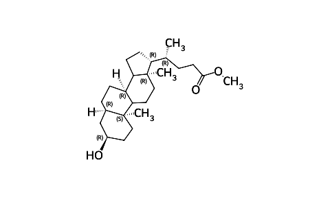 COC(=O)CC[C@@H](C)[C@H]1CCC2[C@@H]3CC[C@@H]4C[C@H](O)CC[C@]4(C)C3CC[C@@]21C